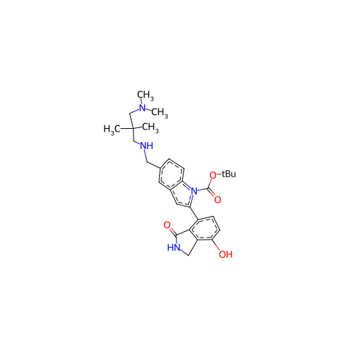 CN(C)CC(C)(C)CNCc1ccc2c(c1)cc(-c1ccc(O)c3c1C(=O)NC3)n2C(=O)OC(C)(C)C